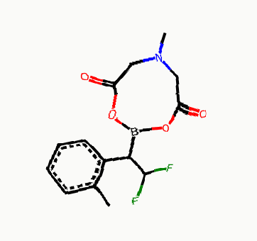 Cc1ccccc1C(B1OC(=O)CN(C)CC(=O)O1)C(F)F